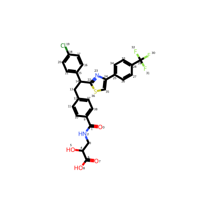 O=C(NCC(O)C(=O)O)c1ccc(CC(c2ccc(Cl)cc2)c2nc(-c3ccc(C(F)(F)F)cc3)cs2)cc1